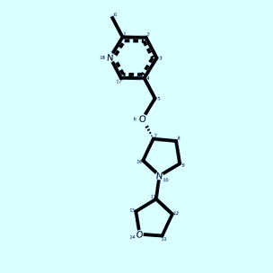 Cc1ccc(CO[C@@H]2CCN(C3CCOC3)C2)cn1